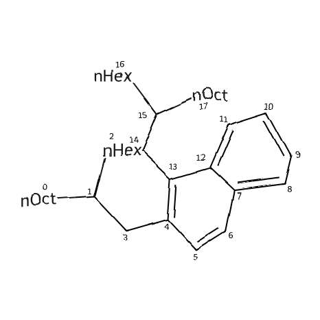 CCCCCCCCC(CCCCCC)Cc1ccc2ccccc2c1CC(CCCCCC)CCCCCCCC